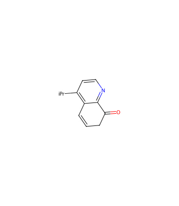 CC(C)c1ccnc2c1C=CCC2=O